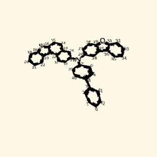 c1ccc(-c2ccc(N(c3ccc4c(ccc5sc6ccccc6c54)c3)c3ccc4oc5ccccc5c4c3)cc2)cc1